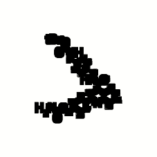 CC(C)(C)OC(=O)NC[C@H]1CC[C@H](CNC(=O)c2cc(-c3ccc(COC(N)=O)cc3)nc3ccccc23)CC1